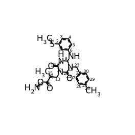 CSc1cccc(NC2NC(=O)N(C[C@H](C)C(=O)ON)C(=O)N2Cc2ccc(C)cc2)c1